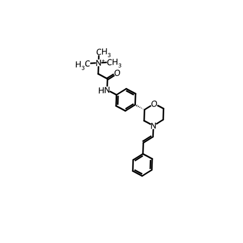 C[N+](C)(C)CC(=O)Nc1ccc([C@H]2CN(C=Cc3ccccc3)CCO2)cc1